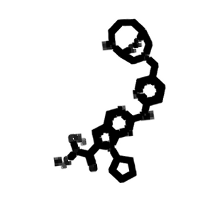 CN(C)C(=O)c1cc2cnc(Nc3ccc(CN4CC5CCCNC(CC5)C4)cn3)nc2n1C1CCCC1